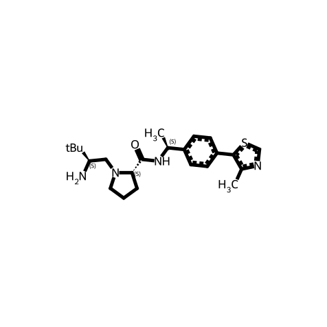 Cc1ncsc1-c1ccc([C@H](C)NC(=O)[C@@H]2CCCN2C[C@@H](N)C(C)(C)C)cc1